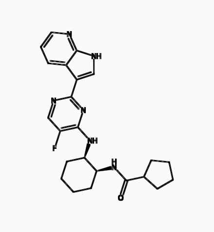 O=C(N[C@H]1CCCC[C@H]1Nc1nc(-c2c[nH]c3ncccc23)ncc1F)C1CCCC1